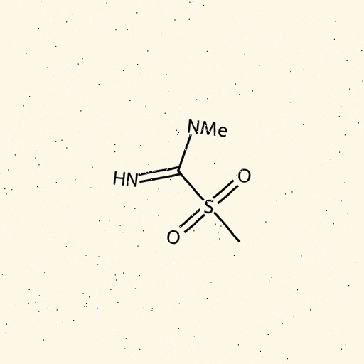 CNC(=N)S(C)(=O)=O